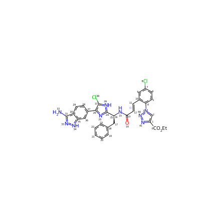 CCOC(=O)c1cn(-c2ccc(Cl)cc2/C=C/C(=O)N[C@@H](Cc2ccccc2)c2nc(-c3ccc4c(N)n[nH]c4c3)c(Cl)[nH]2)nn1